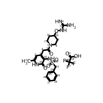 Cc1cc(CC(=O)N2CCC(ONC(=N)N)CC2)c(NS(=O)(=O)Cc2ccccc2)c(=O)[nH]1.O=C(O)C(F)(F)F